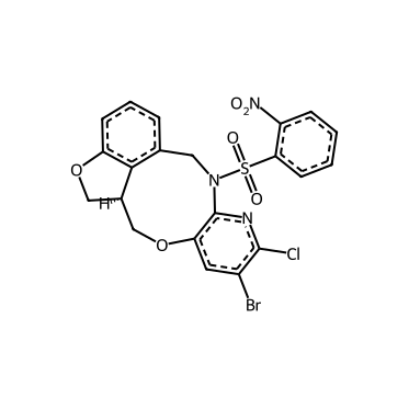 O=[N+]([O-])c1ccccc1S(=O)(=O)N1Cc2cccc3c2[C@@H](COc2cc(Br)c(Cl)nc21)CO3